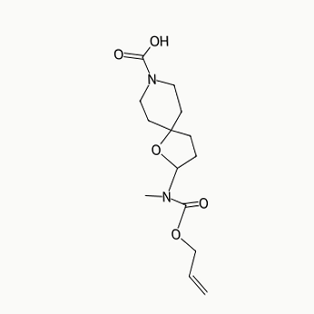 C=CCOC(=O)N(C)C1CCC2(CCN(C(=O)O)CC2)O1